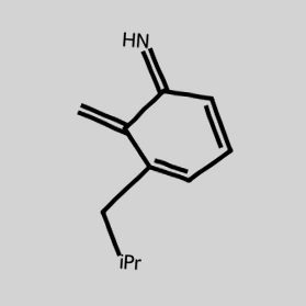 C=C1C(=N)C=CC=C1CC(C)C